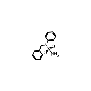 NS(=O)(=O)N(Cc1ccccc1)c1ccccc1